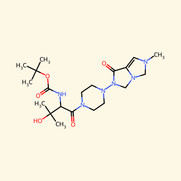 CN1C=C2C(=O)N(N3CCN(C(=O)C(NC(=O)OC(C)(C)C)C(C)(C)O)CC3)CN2C1